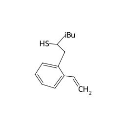 C=Cc1ccccc1CC(S)C(C)CC